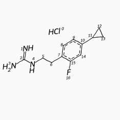 Cl.N=C(N)NCCc1ccc(C2CC2)cc1F